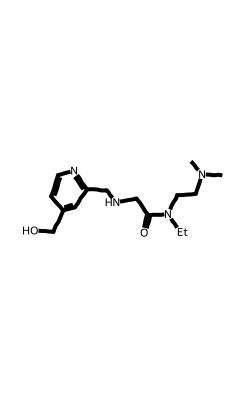 CCN(CCN(C)C)C(=O)CNCc1cc(CO)ccn1